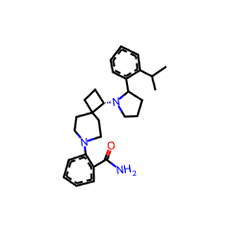 CC(C)c1ccccc1C1CCCN1[C@H]1CCC12CCN(c1ccccc1C(N)=O)CC2